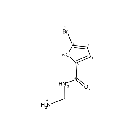 NCNC(=O)c1ccc(Br)o1